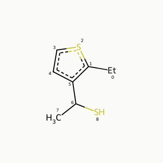 CCc1sccc1C(C)S